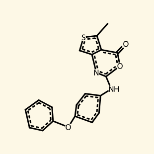 Cc1scc2nc(Nc3ccc(Oc4ccccc4)cc3)oc(=O)c12